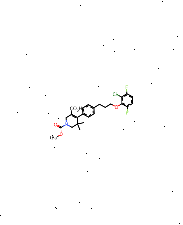 CC(C)(C)OC(=O)N1CC(C(=O)O)=C(c2ccc(CCCOc3c(F)ccc(F)c3Cl)cc2)C(C)(C)C1